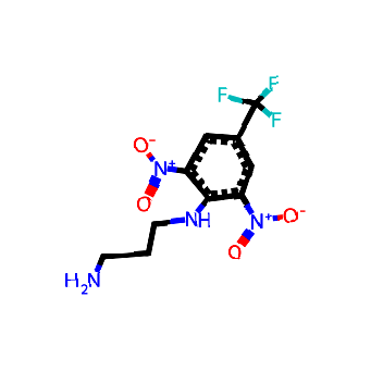 NCCCNc1c([N+](=O)[O-])cc(C(F)(F)F)cc1[N+](=O)[O-]